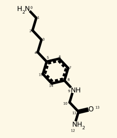 NCCCCc1ccc(NCC(N)=O)cc1